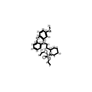 CCOP(=O)(OCC)N1CCCCC1CCN1c2ccccc2Sc2ccc(SC)cc21